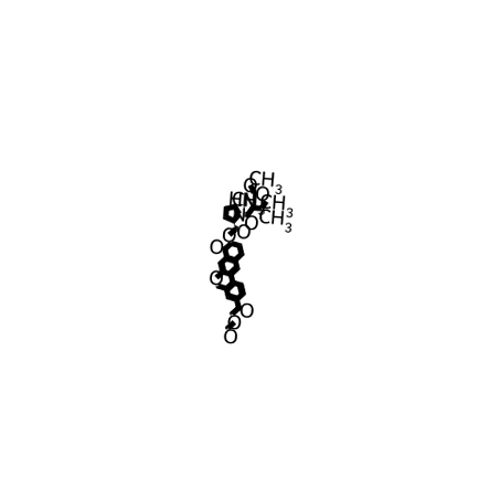 COC(=O)N[C@H](C(=O)N1[C@@H](C)CC[C@H]1C(=O)OC1CCc2cc3c(cc2C1=O)OCc1cc(C(=O)COC=O)ccc1-3)C(C)C